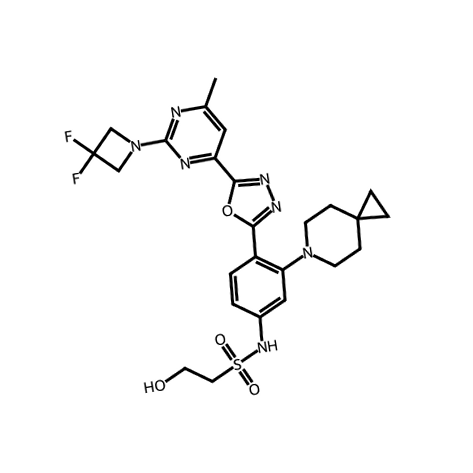 Cc1cc(-c2nnc(-c3ccc(NS(=O)(=O)CCO)cc3N3CCC4(CC3)CC4)o2)nc(N2CC(F)(F)C2)n1